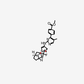 COC(=O)c1ccc(-c2nc(Nc3cnn(C4C[C@H]5CC[C@@H](C4)N5CC(F)(F)F)c3)ncc2C)cc1